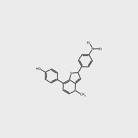 CCN(CC)c1ccc(C2C=C3C(=C(c4ccc(O)cc4)C=CN3C)S2)cc1